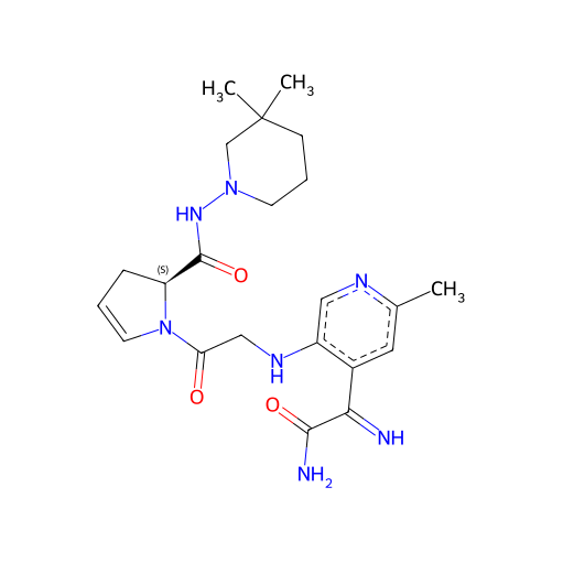 Cc1cc(C(=N)C(N)=O)c(NCC(=O)N2C=CC[C@H]2C(=O)NN2CCCC(C)(C)C2)cn1